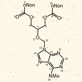 CCCCCCCCCC(=O)OCC(COC(=O)CCCCCCCCC)OCn1cnc2c(NC)ncnc21